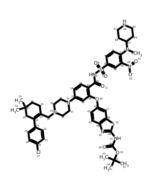 CN(c1ccc(S(=O)(=O)NC(=O)c2ccc(N3CCN(CC4=C(c5ccc(Cl)cc5)CC(C)(C)CC4)CC3)cc2Oc2ccc3nc(NC(=O)OC(C)(C)C)sc3c2)cc1[N+](=O)[O-])C1CCNCC1